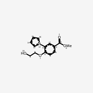 COC(=O)c1ccc(OCCO)c(-n2cccc2)c1